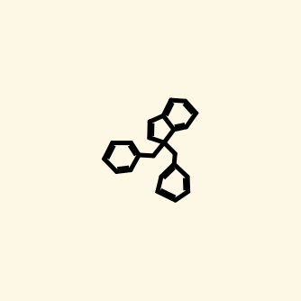 C1=CC(Cc2ccccc2)(Cc2ccccc2)c2ccccc21